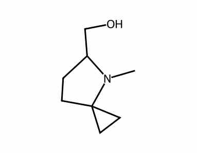 CN1C(CO)CCC12CC2